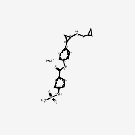 CS(=O)(=O)Nc1ccc(C(=O)Nc2ccc(C3CC3NCC3CC3)cc2)cc1.Cl